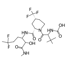 CNC(=O)C(O)C(CCC(C)(F)F)NC(=O)[C@@H]1C[C@H](C(F)(F)F)CCN1C(=O)C(NC(=O)O)C(C)(C)C